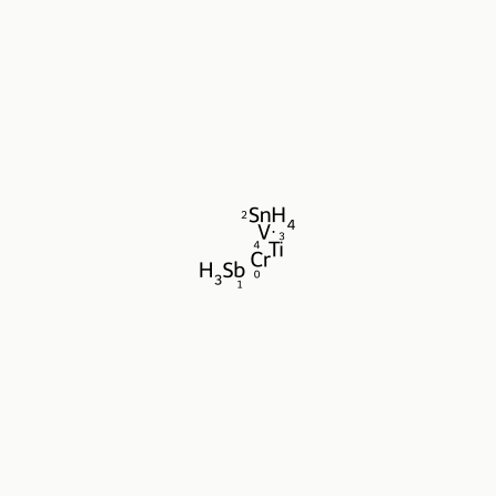 [Cr].[SbH3].[SnH4].[Ti].[V]